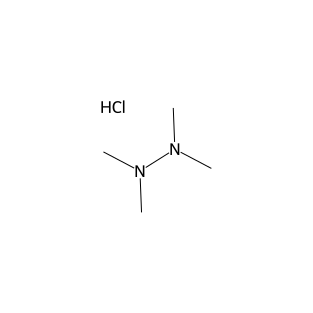 CN(C)N(C)C.Cl